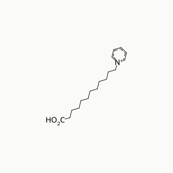 O=C(O)CCCCCCCCCCC[n+]1ccccc1